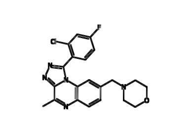 Cc1nc2ccc(CN3CCOCC3)cc2n2c(-c3ccc(F)cc3Cl)nnc12